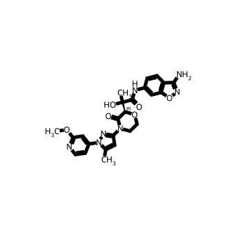 COc1cc(-n2nc(N3CCO[C@H](C(C)(O)C(=O)Nc4ccc5c(N)noc5c4)C3=O)cc2C)ccn1